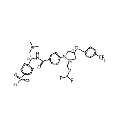 CCS(=O)(=O)c1ccc([C@H](CN(C)C)NC(=O)c2ccc(N3C[C@@H](Oc4ccc(C(F)(F)F)cc4)C[C@H]3COC(F)F)cc2)cc1